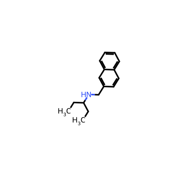 CCC(CC)NCc1ccc2ccccc2c1